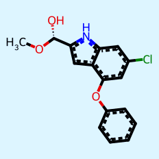 CO[C@H](O)c1cc2c(Oc3ccccc3)cc(Cl)cc2[nH]1